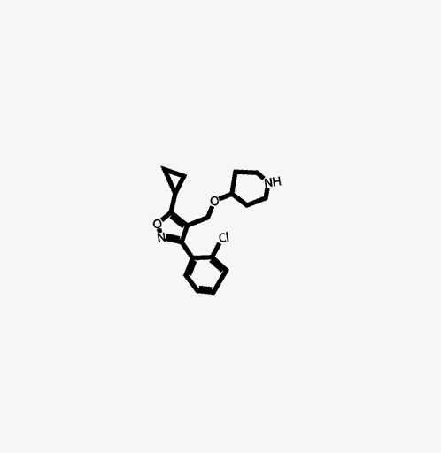 Clc1ccccc1-c1noc(C2CC2)c1COC1CCNCC1